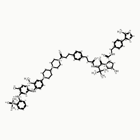 COc1cc(N2CCC(N3CCN(C(=O)CCc4ccc(CCC(=O)NC(C(=O)N5C[C@H](O)C[C@H]5C(=O)NCc5ccc(-c6scnc6C)cc5)C(C)(C)C)cc4)CC3)CC2)ccc1Nc1ncc(Cl)c(Nc2ccccc2P(C)(C)=O)n1